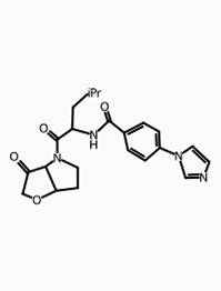 CC(C)CC(NC(=O)c1ccc(-n2ccnc2)cc1)C(=O)N1CCC2OCC(=O)C21